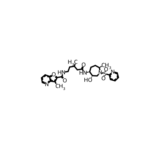 Cc1c(C(=O)NCCC(C)CC(=O)N[C@H]2CC[C@@H](C)N(S(=O)(=O)c3ccccn3)C[C@@H]2O)oc2cccnc12